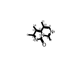 Cc1nc(=O)n2c(C)ncc(C)c2c1C